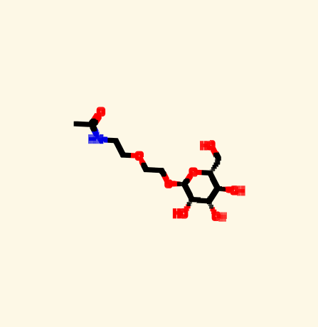 CC(=O)NCCOCCO[C@H]1O[C@H](CO)[C@@H](O)[C@H](O)[C@@H]1O